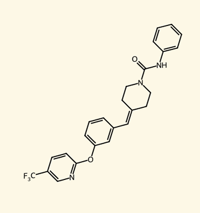 O=C(Nc1ccccc1)N1CCC(=Cc2cccc(Oc3ccc(C(F)(F)F)cn3)c2)CC1